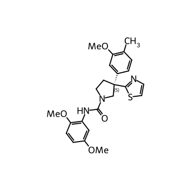 COc1ccc(OC)c(NC(=O)N2CC[C@@](c3ccc(C)c(OC)c3)(c3nccs3)C2)c1